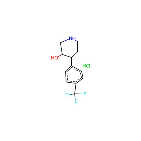 Cl.OC1CNCCC1c1ccc(C(F)(F)F)cc1